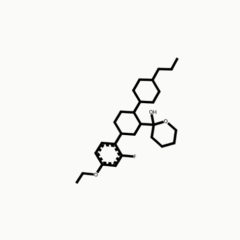 CCCC1CCC(C2CCC(c3ccc(OCC)cc3F)CC2C2(O)CCCCO2)CC1